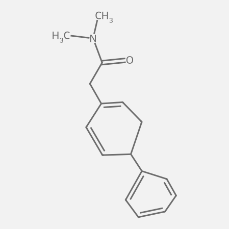 CN(C)C(=O)CC1=CCC(c2ccccc2)C=C1